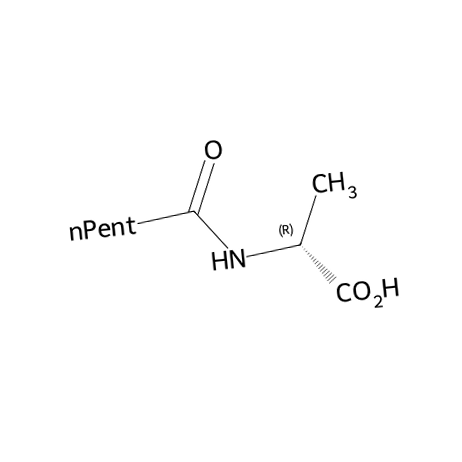 CCCCCC(=O)N[C@H](C)C(=O)O